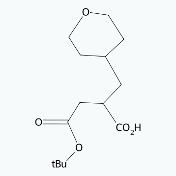 CC(C)(C)OC(=O)CC(CC1CCOCC1)C(=O)O